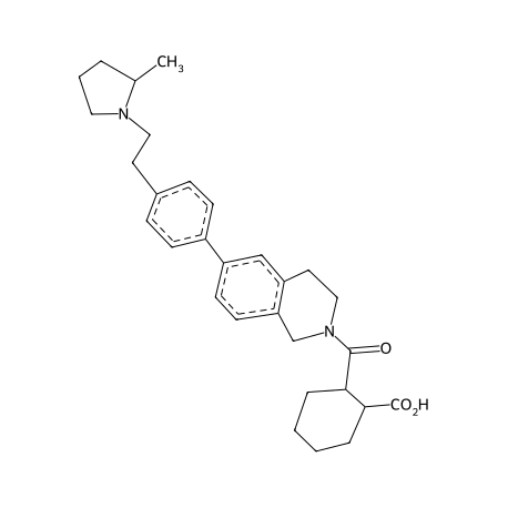 CC1CCCN1CCc1ccc(-c2ccc3c(c2)CCN(C(=O)C2CCCCC2C(=O)O)C3)cc1